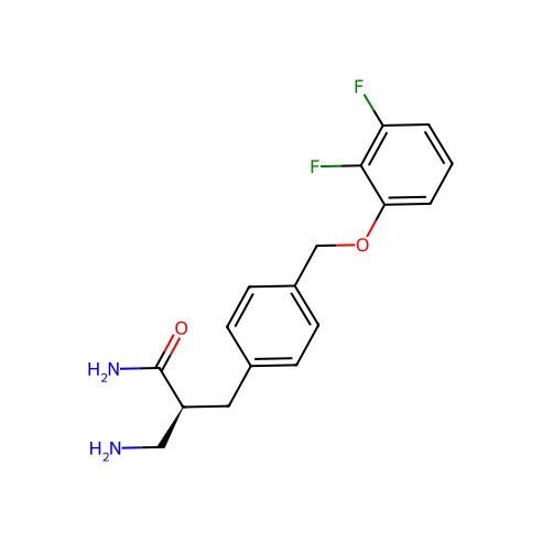 NC[C@H](Cc1ccc(COc2cccc(F)c2F)cc1)C(N)=O